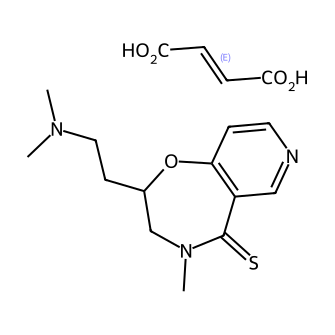 CN(C)CCC1CN(C)C(=S)c2cnccc2O1.O=C(O)/C=C/C(=O)O